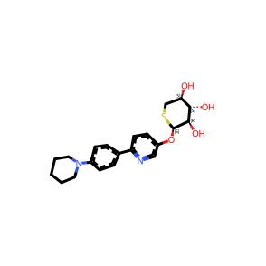 O[C@@H]1[C@@H](O)[C@@H](Oc2ccc(-c3ccc(N4CCCCC4)cc3)nc2)SC[C@H]1O